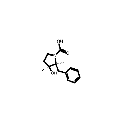 C[C@]1(O)CCN(C(=O)O)[C@@]1(C)Cc1ccccc1